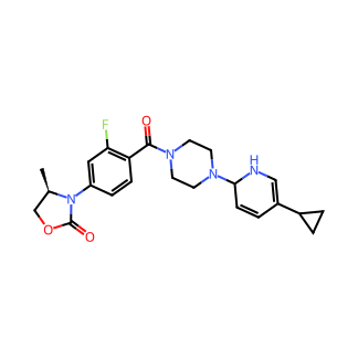 C[C@@H]1COC(=O)N1c1ccc(C(=O)N2CCN(C3C=CC(C4CC4)=CN3)CC2)c(F)c1